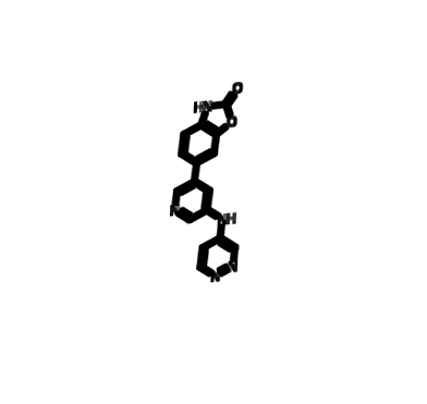 O=c1[nH]c2ccc(-c3cncc(Nc4ccnnc4)c3)cc2o1